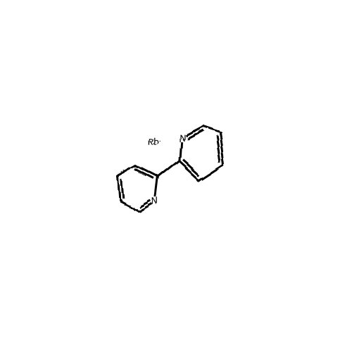 [Rb].c1ccc(-c2ccccn2)nc1